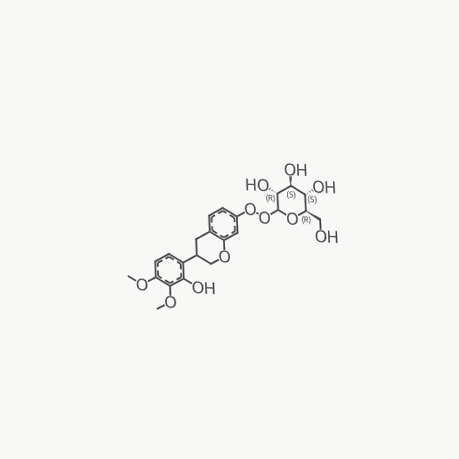 COc1ccc(C2COc3cc(OOC4O[C@H](CO)[C@@H](O)[C@H](O)[C@H]4O)ccc3C2)c(O)c1OC